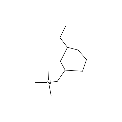 CCC1CCCC(C[Si](C)(C)C)C1